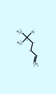 C=CCCC(C)(C)C(C)=O